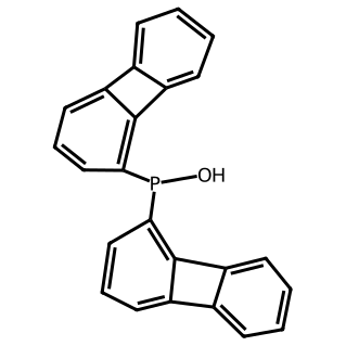 OP(c1cccc2c1-c1ccccc1-2)c1cccc2c1-c1ccccc1-2